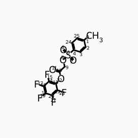 Cc1ccc(S(=O)(=O)OCC(=O)Oc2c(F)c(F)c(F)c(F)c2F)cc1